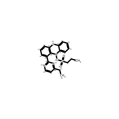 CCCS(=O)(=O)ON1c2ccccc2Sc2cccc(-c3nccc(CC)n3)c21